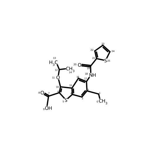 CCc1cc2sc(C(=O)O)c(OC(C)C)c2cc1NC(=O)c1cccs1